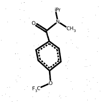 CC(C)N(C)C(=O)c1ccc(OC(F)(F)F)cc1